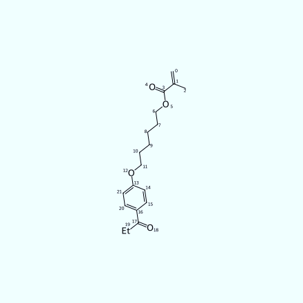 C=C(C)C(=O)OCCCCCCOc1ccc(C(=O)CC)cc1